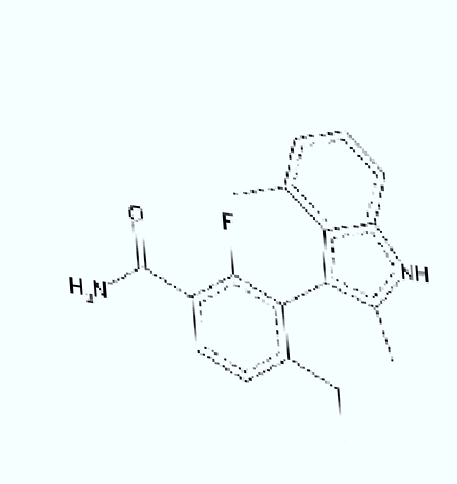 CCc1ccc(C(N)=O)c(F)c1-c1c(C)[nH]c2cccc(C)c12